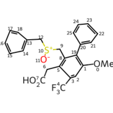 COc1cc(C(F)(F)F)c(CC(=O)O)c(C[S+]([O-])Cc2ccccc2)c1-c1ccccc1